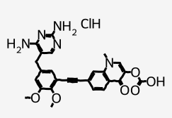 COc1cc(Cc2cnc(N)nc2N)cc(C#Cc2ccc3c(=O)c(OC(=O)O)cn(C)c3c2)c1OC.Cl